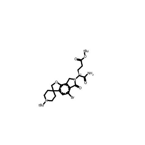 CC(C)(C)OC(=O)CC[C@@H](C(N)=O)N1Cc2c3c(cc(Br)c2C1=O)C1(CCN(C(C)(C)C)CC1)CO3